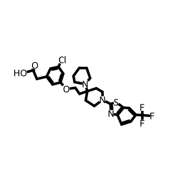 O=C(O)Cc1cc(Cl)cc(OCCC2(N3CCCCC3)CCN(c3nc4ccc(C(F)(F)F)cc4s3)CC2)c1